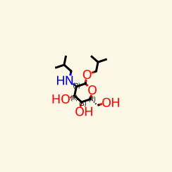 CC(C)CN[C@H]1C(OCC(C)C)O[C@H](CO)[C@@H](O)[C@@H]1O